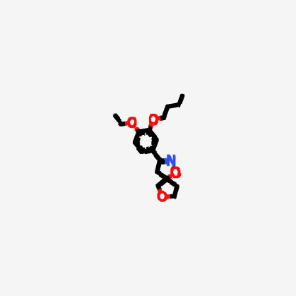 CCCCOc1cc(C2=NOC3(CCOC3)C2)ccc1OCC